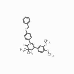 COc1ccc(C2=NN(c3ccc(OCc4ccccc4)cc3)C(=O)C(C)(C)C2)cc1OC